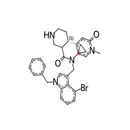 Cn1ccc([C@H]2CCNCC2C(=O)N(Cc2cn(Cc3ccccc3)c3cccc(Br)c23)C2CC2)cc1=O